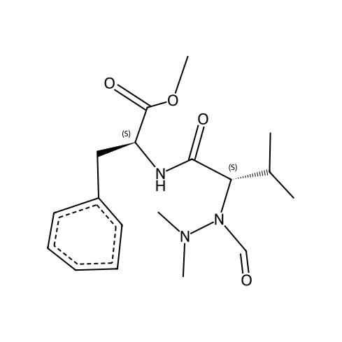 COC(=O)[C@H](Cc1ccccc1)NC(=O)[C@H](C(C)C)N(C=O)N(C)C